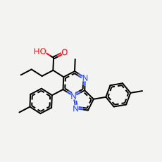 CCCC(C(=O)O)c1c(C)nc2c(-c3ccc(C)cc3)cnn2c1-c1ccc(C)cc1